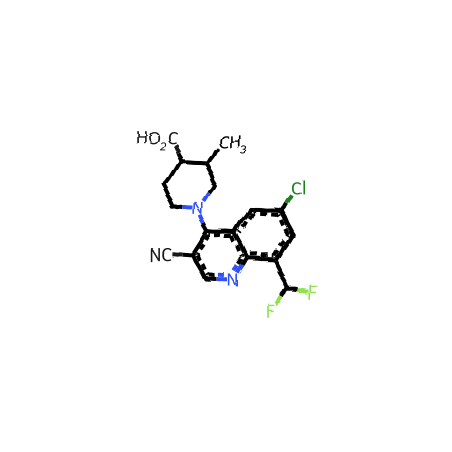 CC1CN(c2c(C#N)cnc3c(C(F)F)cc(Cl)cc23)CCC1C(=O)O